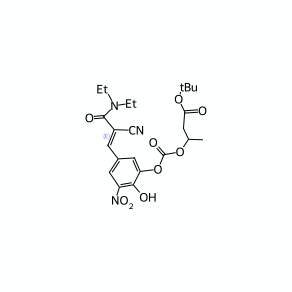 CCN(CC)C(=O)/C(C#N)=C/c1cc(OC(=O)OC(C)CC(=O)OC(C)(C)C)c(O)c([N+](=O)[O-])c1